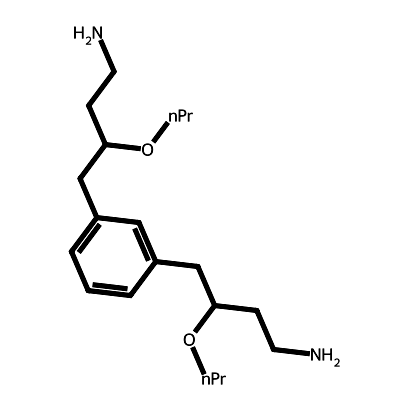 CCCOC(CCN)Cc1cccc(CC(CCN)OCCC)c1